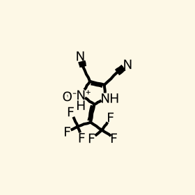 N#CC1=C(C#N)[NH+]([O-])C(=C(C(F)(F)F)C(F)(F)F)N1